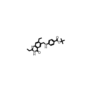 CCc1nc2cc(CC)c(CNc3ccc(C(=O)OC(C)(C)C)cc3)cc2c(=O)[nH]1